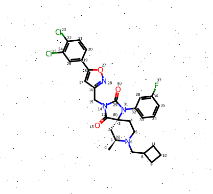 C[C@H]1C[C@]2(CCN1CC1CCC1)C(=O)N(Cc1cc(-c3ccc(Cl)c(Cl)c3)on1)C(=O)N2c1cccc(F)c1